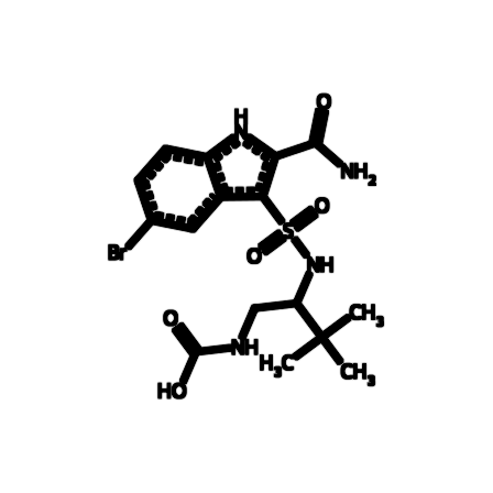 CC(C)(C)C(CNC(=O)O)NS(=O)(=O)c1c(C(N)=O)[nH]c2ccc(Br)cc12